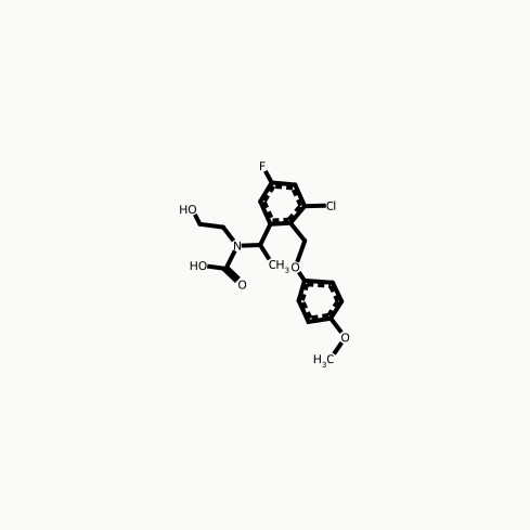 COc1ccc(OCc2c(Cl)cc(F)cc2C(C)N(CCO)C(=O)O)cc1